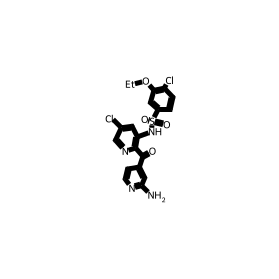 CCOc1cc(S(=O)(=O)Nc2cc(Cl)cnc2C(=O)c2ccnc(N)c2)ccc1Cl